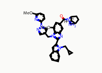 COc1cccc(-n2cc(Cn3c(-c4cc5ccccc5n4CC4CC4)nc4cc(C(=O)N5CC6CCC5[C@@H]6N)cc(OC)c43)cn2)n1